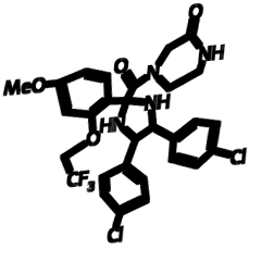 COc1ccc(C2(C(=O)N3CCNC(=O)C3)NC(c3ccc(Cl)cc3)C(c3ccc(Cl)cc3)N2)c(OCC(F)(F)F)c1